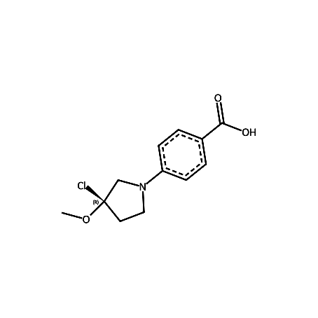 CO[C@@]1(Cl)CCN(c2ccc(C(=O)O)cc2)C1